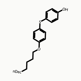 CCCCCCCCCCCCCCOc1ccc(Sc2ccc(O)cc2)cc1